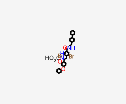 O=C(O)C(=O)NC(Cc1c(Br)cc(C(=O)NCCc2ccc(-c3ccccc3)cc2)cc1Br)c1ccc(Oc2ccccc2)cc1